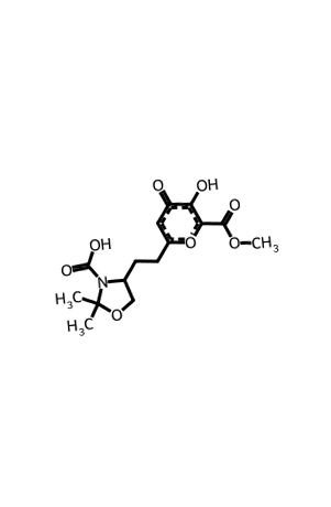 COC(=O)c1oc(CCC2COC(C)(C)N2C(=O)O)cc(=O)c1O